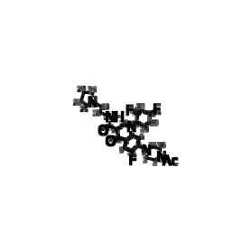 CC(=O)N1CCN(c2cc3c(cc2F)c(=O)c(C(=O)NCCN2CCCC2)cn3-c2ccc(F)cc2F)CC1